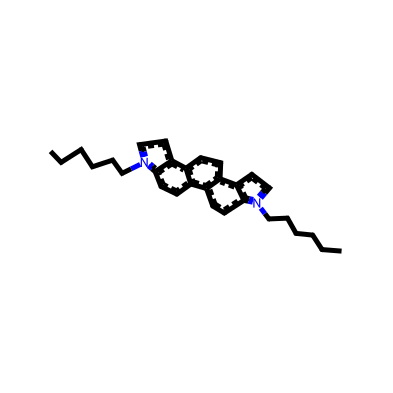 CCCCCCn1ccc2c3ccc4c(ccc5c4ccn5CCCCCC)c3ccc21